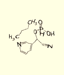 CCCC.N#CC(O[PH](=O)O)c1cccnc1